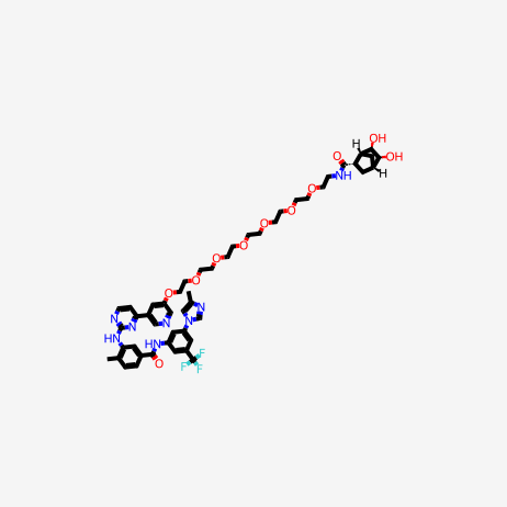 Cc1cn(-c2cc(NC(=O)c3ccc(C)c(Nc4nccc(-c5cncc(OCCOCCOCCOCCOCCOCCOCCNC(=O)[C@H]6C[C@@H]7C[C@H]6[C@@H](O)[C@H]7O)c5)n4)c3)cc(C(F)(F)F)c2)cn1